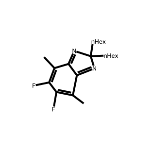 CCCCCCC1(CCCCCC)N=c2c(C)c(F)c(F)c(C)c2=N1